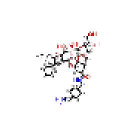 CC[C@@H]1CC(C(=O)NCc2ccc(CN)cc2)CC(O[C@@H]2O[C@@H](CO)C(O)C(O[C@@H](CC3CCCCC3)C(=O)O)C2NC(C)=O)C1O[C@@H](C)OC(C)C(O)[C@H](O)CO